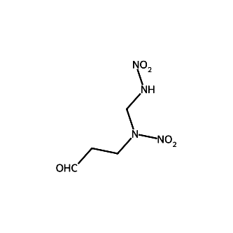 O=CCCN(CN[N+](=O)[O-])[N+](=O)[O-]